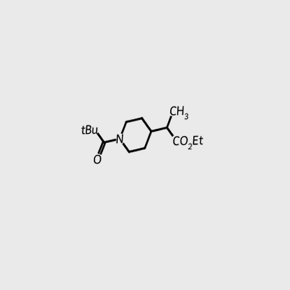 CCOC(=O)C(C)C1CCN(C(=O)C(C)(C)C)CC1